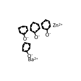 [Ba+2].[O-]c1ccccc1.[O-]c1ccccc1.[O-]c1ccccc1.[O-]c1ccccc1.[Zn+2]